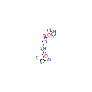 N#Cc1cccc(Cl)c1C1CC(c2csc(C3CCN(C(=O)COc4nccnc4Cl)CC3)n2)=NO1